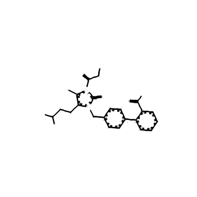 CCC(=O)n1c(Cl)c(CCC(C)C)n(Cc2ccc(-c3ccccc3C(=O)O)cc2)c1=O